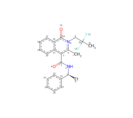 CC[C@H](NC(=O)c1c(C)n(CC(C)(F)F)c(=O)c2ccccc12)c1ccccc1